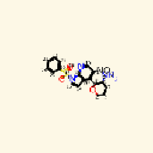 NC1CCCO[C@H]1c1c([N+](=O)[O-])cnc2c1ccn2S(=O)(=O)c1ccccc1